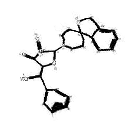 O=C1C(C(O)c2ccccc2)OC(N2CCC3(CC2)OCc2ccccc23)[N+]1=O